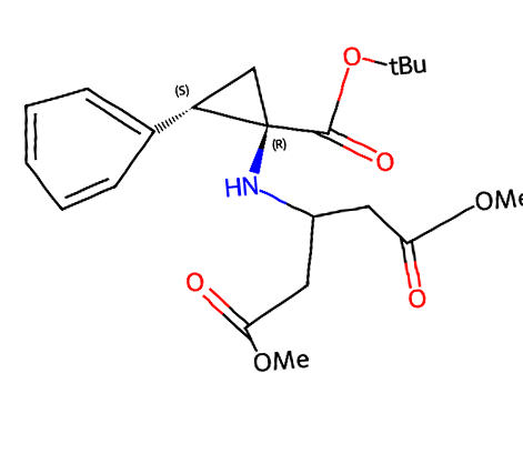 COC(=O)CC(CC(=O)OC)N[C@]1(C(=O)OC(C)(C)C)C[C@H]1c1ccccc1